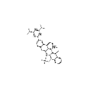 Cc1c2c(c(CC(C)(C)C)c3ccccc13)Sc1cc3ccc(-c4nc(C(C)C)nc(C(C)C)n4)cc3c3cc[n+](C)c-2c13